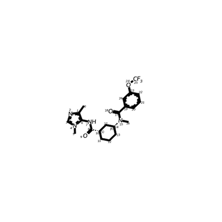 Cc1ncn(C)c1NC(=O)[C@H]1CCC[C@@H](N(C)C(=O)c2cccc(OC(F)(F)F)c2)C1